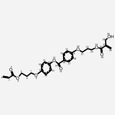 C=CC(=O)OCCCOc1ccc(OC(=O)c2ccc(OCCCOC(=O)C(=C)CO)cc2)cc1